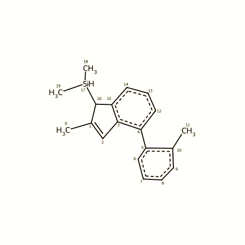 CC1=Cc2c(-c3ccccc3C)cccc2C1[SiH](C)C